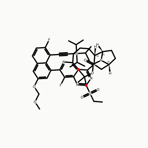 CCS(=O)(=O)c1nc2c3c(nc(-c4cc(OCOC)cc5ccc(F)c(C#C[Si](C(C)C)(C(C)C)C(C)C)c45)c(F)c3n1)CCC[C@@H]1[C@@H]3CC[C@H](CN21)N3C(=O)OC(C)(C)C